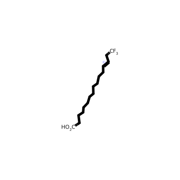 O=C(O)CCCCCCCCCCC/C=C/CC(F)(F)F